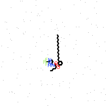 CCCCCCCCCCCCCCCc1cccc(OC(CCCC)C(=O)Nc2ccnc(C(F)(F)F)n2)c1